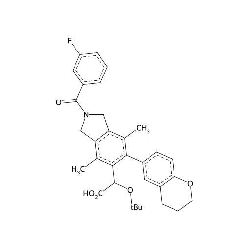 Cc1c2c(c(C)c(C(OC(C)(C)C)C(=O)O)c1-c1ccc3c(c1)CCCO3)CN(C(=O)c1cccc(F)c1)C2